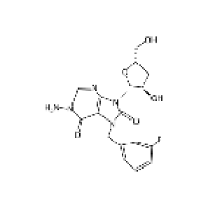 Nn1cnc2c(c1=O)n(Cc1cccc(F)c1)c(=O)n2[C@@H]1O[C@H](CO)C[C@H]1O